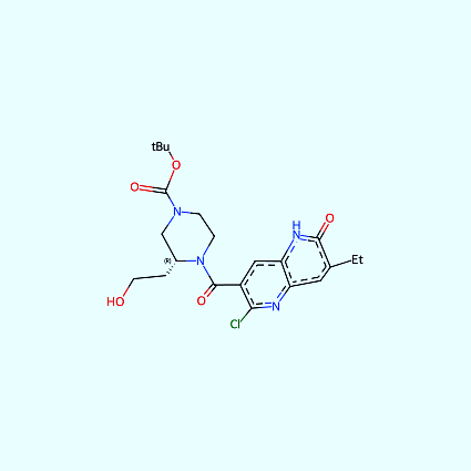 CCc1cc2nc(Cl)c(C(=O)N3CCN(C(=O)OC(C)(C)C)C[C@H]3CCO)cc2[nH]c1=O